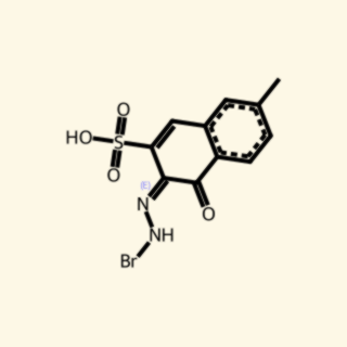 Cc1ccc2c(c1)C=C(S(=O)(=O)O)/C(=N/NBr)C2=O